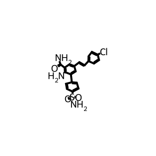 NC(=O)c1cc(/C=C/c2ccc(Cl)cc2)cc(-c2ccc(S(N)(=O)=O)cc2)c1N